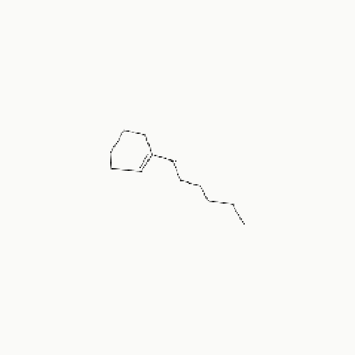 CCCCC[CH]C1=CCCCC1